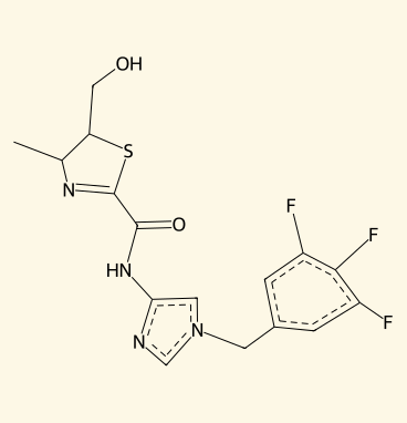 CC1N=C(C(=O)Nc2cn(Cc3cc(F)c(F)c(F)c3)cn2)SC1CO